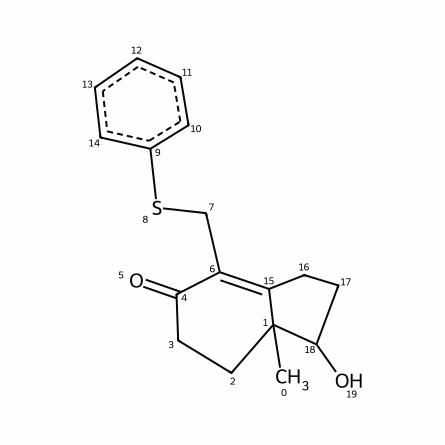 CC12CCC(=O)C(CSc3ccccc3)=C1CCC2O